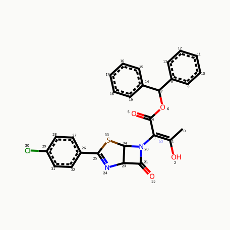 C/C(O)=C(\C(=O)OC(c1ccccc1)c1ccccc1)N1C(=O)C2N=C(c3ccc(Cl)cc3)SC21